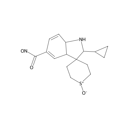 O=NC(=O)C1=CC2C(C=C1)NC(C1CC1)C21CC[S+]([O-])CC1